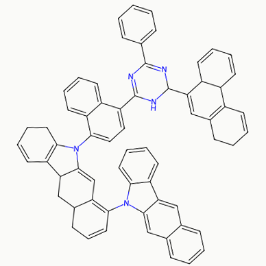 C1=CC2C(C3N=C(c4ccccc4)N=C(c4ccc(N5C6=CC7=C(n8c9ccccc9c9cc%10ccccc%10cc98)C=CCC7CC6C6=C5CCC=C6)c5ccccc45)N3)=CC3=C(C=CCC3)C2C=C1